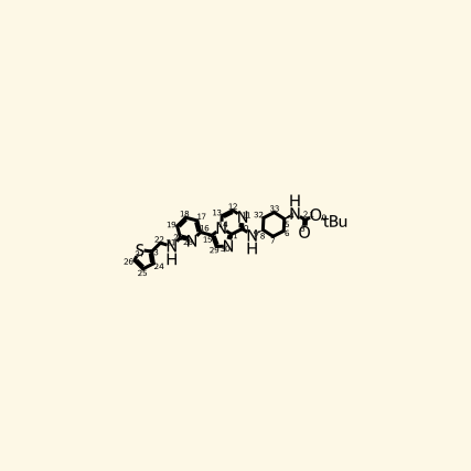 CC(C)(C)OC(=O)N[C@H]1CC[C@H](Nc2nccn3c(-c4cccc(NCc5cccs5)n4)cnc23)CC1